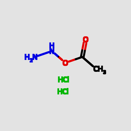 CC(=O)ONN.Cl.Cl